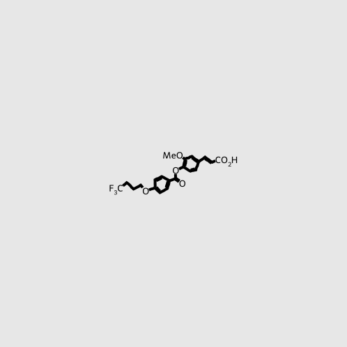 COc1cc(/C=C/C(=O)O)ccc1OC(=O)c1ccc(OCCCC(F)(F)F)cc1